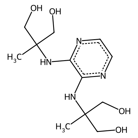 CC(CO)(CO)Nc1nccnc1NC(C)(CO)CO